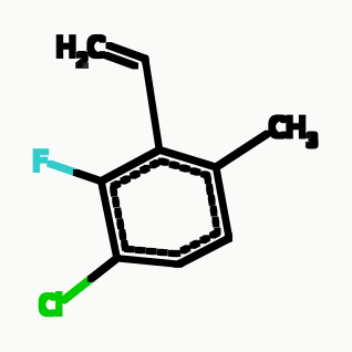 C=Cc1c(C)ccc(Cl)c1F